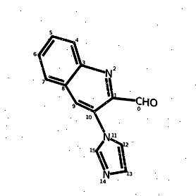 O=Cc1nc2ccccc2cc1-n1ccnc1